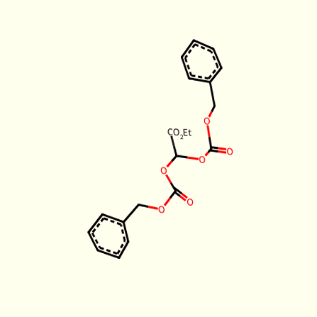 CCOC(=O)C(OC(=O)OCc1ccccc1)OC(=O)OCc1ccccc1